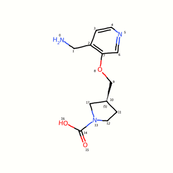 NCc1ccncc1OC[C@H]1CCN(C(=O)O)C1